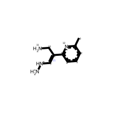 Cc1cccc(/C(=C/NN)CN)n1